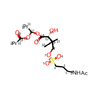 CC(=O)NCCCS(=O)(=O)OCC(C)(C)[C@@H](O)C(=O)OC(OC(=O)C(C)C)C(C)C